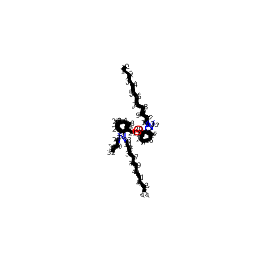 CCCCCCCCCCCCN(C)c1ccccc1OCc1ccccc1N(CCCC)CCCCCCCCCCCC